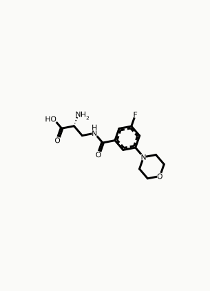 N[C@H](CNC(=O)c1cc(F)cc(N2CCOCC2)c1)C(=O)O